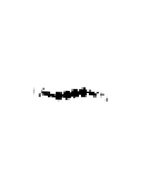 CCCCCC[C@H]1CC[C@H](c2ccc(-c3ccc([C@H]4CC[C@H](CCCCC)CC4)cc3)cc2)CC1